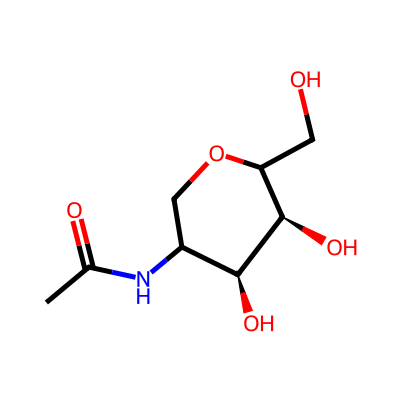 CC(=O)NC1COC(CO)[C@@H](O)[C@H]1O